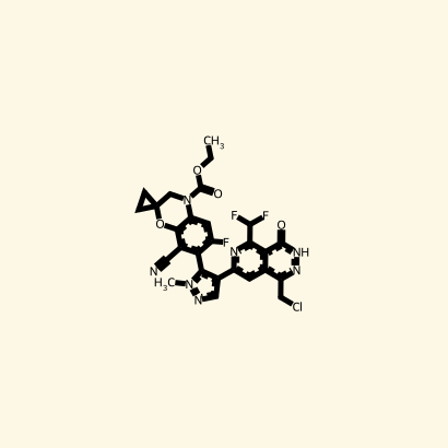 CCOC(=O)N1CC2(CC2)Oc2c1cc(F)c(-c1c(-c3cc4c(CCl)n[nH]c(=O)c4c(C(F)F)n3)cnn1C)c2C#N